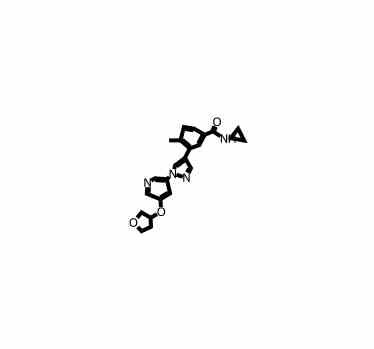 Cc1ccc(C(=O)NC2CC2)cc1-c1cnn(-c2cncc(OC3CCOC3)c2)c1